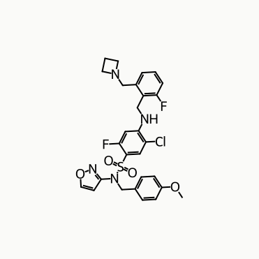 COc1ccc(CN(c2ccon2)S(=O)(=O)c2cc(Cl)c(NCc3c(F)cccc3CN3CCC3)cc2F)cc1